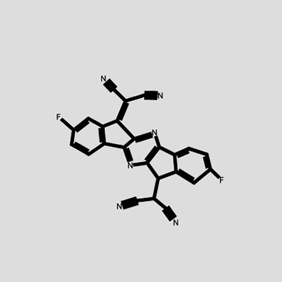 N#CC(C#N)=C1c2cc(F)ccc2-c2nc3c(nc21)-c1ccc(F)cc1C3C(C#N)C#N